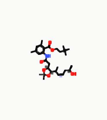 Cc1cc(C)c(C(=O)OCC[Si](C)(C)C)c(NC(=O)C[C@@H]2OC(C)(C)O[C@@H]2C(C)/C=C\C[C@@H](C)O)c1